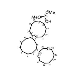 C1CCCCCCCCC1.C1CCCCCCCCC1.C1CCCCCCCCC1.COP(O)OC